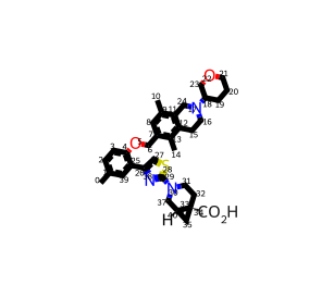 Cc1ccc(OCc2cc(C)c3c(c2C)CCN(C2CCCOC2)C3)c(-c2csc(N3CC[C@@]4(C(=O)O)C[C@H]4C3)n2)c1